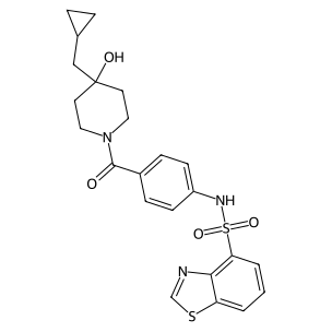 O=C(c1ccc(NS(=O)(=O)c2cccc3scnc23)cc1)N1CCC(O)(CC2CC2)CC1